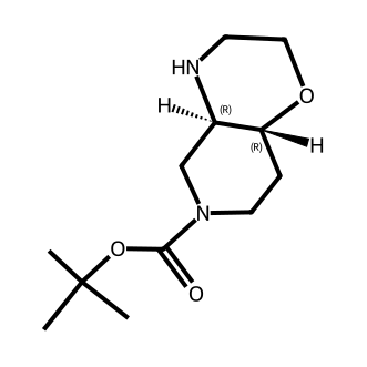 CC(C)(C)OC(=O)N1CC[C@H]2OCCN[C@@H]2C1